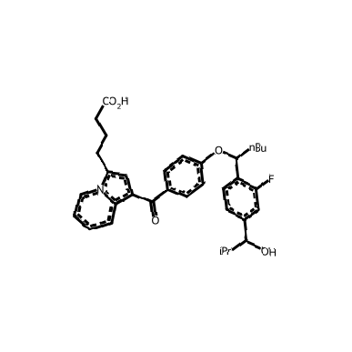 CCCCC(Oc1ccc(C(=O)c2cc(CCCC(=O)O)n3ccccc23)cc1)c1ccc(C(O)C(C)C)cc1F